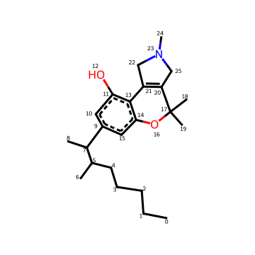 CCCCCC(C)C(C)c1cc(O)c2c(c1)OC(C)(C)C1=C2CN(C)C1